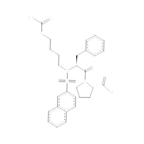 N=C(N)NCCCCN([C@@H](Cc1ccccc1)C(=O)N1CCC[C@H]1C(N)=O)S(=O)(=O)c1ccc2ccccc2c1